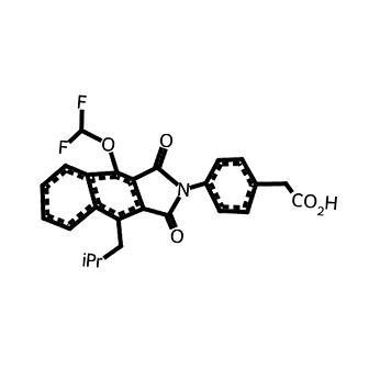 CC(C)Cc1c2c(c(OC(F)F)c3ccccc13)C(=O)N(c1ccc(CC(=O)O)cc1)C2=O